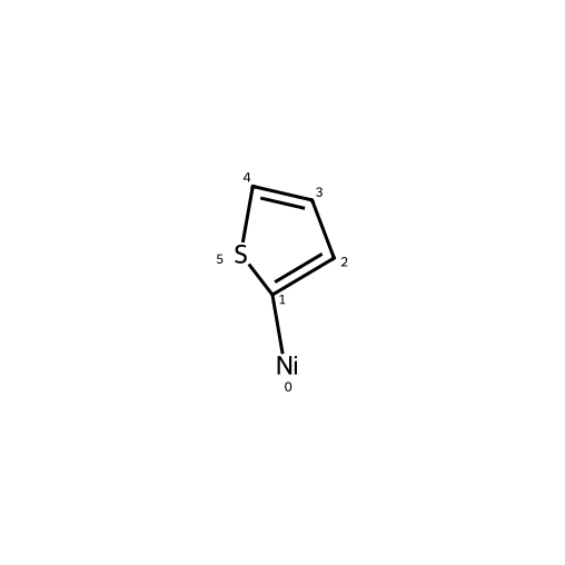 [Ni][c]1cccs1